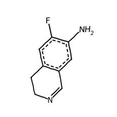 Nc1cc2c(cc1F)CCN=C2